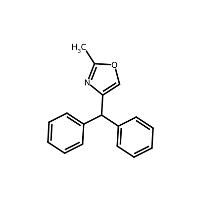 Cc1nc(C(c2ccccc2)c2ccccc2)co1